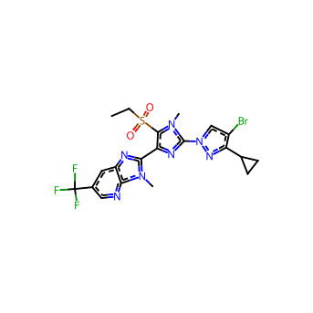 CCS(=O)(=O)c1c(-c2nc3cc(C(F)(F)F)cnc3n2C)nc(-n2cc(Br)c(C3CC3)n2)n1C